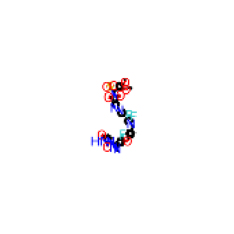 CCOc1cc([C@@H](CS(C)(=O)=O)N2C(=O)c3cnc(N4CCC([C@H]5CCN(Cc6ccc(Oc7cc8c(cc7F)c(N7CCC(=O)NC7=O)nn8C)cc6)CC5(F)F)CC4)cc3C2=O)ccc1OC